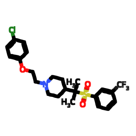 CC(C)(C1CCN(CCOc2ccc(Cl)cc2)CC1)S(=O)(=O)c1cccc(C(F)(F)F)c1